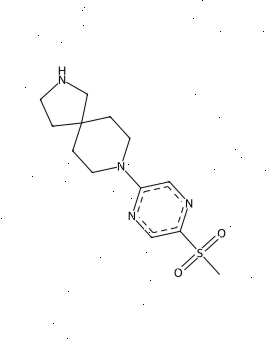 CS(=O)(=O)c1cnc(N2CCC3(CCNC3)CC2)cn1